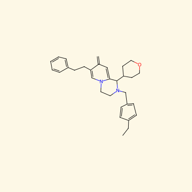 C=C1C=C2C(C3CCOCC3)N(Cc3ccc(CC)cc3)CCN2C=C1CCc1ccccc1